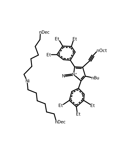 CCCCCCCCC#CC1=C(c2cc(CC)c(CC)c(CC)c2)[N+](=[N-])C(c2cc(CC)c(CC)c(CC)c2)=C1CCCC.CCCCCCCCCCCCCCC[CH2][Ni][CH2]CCCCCCCCCCCCCCC